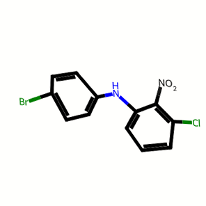 O=[N+]([O-])c1c(Cl)cccc1Nc1ccc(Br)cc1